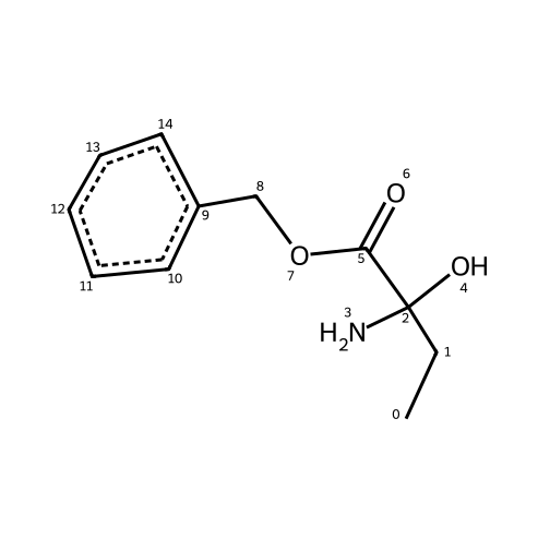 CCC(N)(O)C(=O)OCc1ccccc1